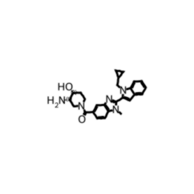 Cn1c(-c2cc3ccccc3n2CC2CC2)nc2cc(C(=O)N3CC[C@@H](O)[C@@H](N)C3)ccc21